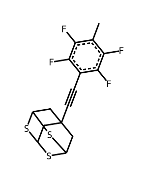 Cc1c(F)c(F)c(C#CC23CC4SC(C2)SC(C3)S4)c(F)c1F